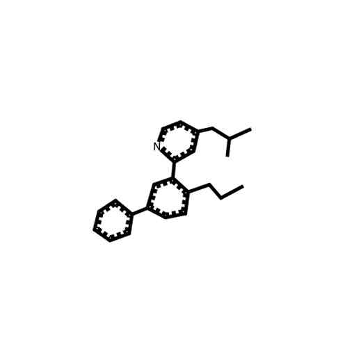 CCCc1ccc(-c2ccccc2)cc1-c1cc(CC(C)C)ccn1